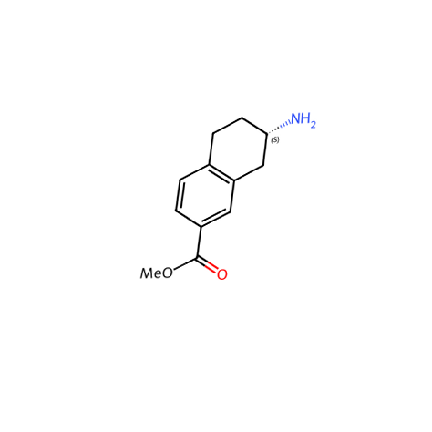 COC(=O)c1ccc2c(c1)C[C@@H](N)CC2